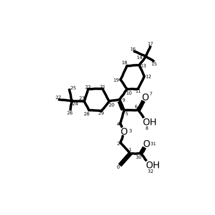 C=C(COCC(C(=O)O)=C(C1CCC(C(C)(C)C)CC1)C1CCC(C(C)(C)C)CC1)C(=O)O